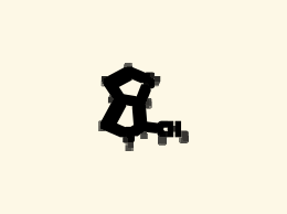 Cc1scc2ccsc12